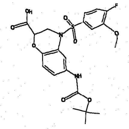 COc1cc(S(=O)(=O)N2CC(C(=O)O)Oc3ccc(NC(=O)OC(C)(C)C)cc32)ccc1F